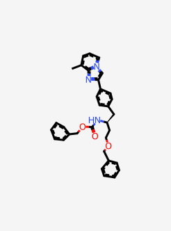 Cc1cccn2cc(-c3ccc(C[C@@H](CCOCc4ccccc4)NC(=O)OCc4ccccc4)cc3)nc12